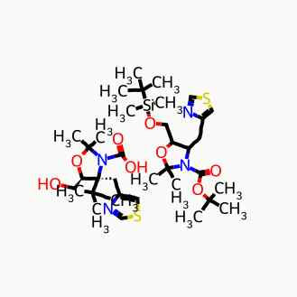 CC(C)(C)OC(=O)N1C(Cc2cscn2)C(CO[Si](C)(C)C(C)(C)C)OC1(C)C.CC1(C)O[C@H](CO)[C@](Cc2cscn2)(C(C)(C)C)N1C(=O)O